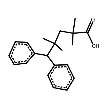 CC(C)(CC(C)(C)C(c1ccccc1)c1ccccc1)C(=O)O